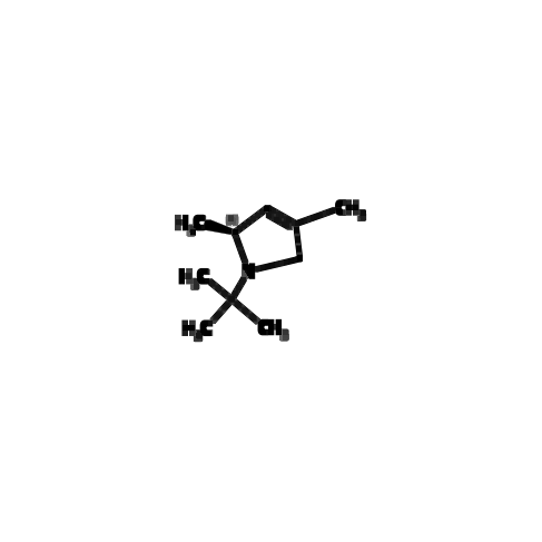 CC1=C[C@H](C)N(C(C)(C)C)C1